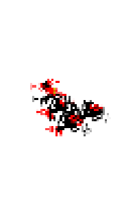 CC(C)(C)c1cc(CCC(=O)O)cc(C(C)(C)C)c1O.CC(C)(C)c1cc(CCC(=O)O)cc(C(C)(C)C)c1O.CC(C)(C)c1cc(CCC(=O)O)cc(C(C)(C)C)c1O.CCCC(O)=S.OCC(CO)(CO)CO